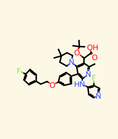 Cc1nc(Nc2ccncc2F)c(-c2ccc(OCCc3ccc(F)cc3)cc2)c(N2CCC(C)(C)CC2)c1C(OC(C)(C)C)C(=O)O